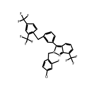 Fc1cc(Cl)ccc1Cn1nc2c(C(F)(F)F)cccc2c1-c1cccc(Cc2ccc(C(F)(F)F)cc2C(F)(F)F)c1